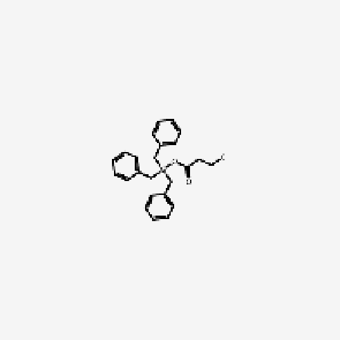 O=C(CCCl)O[Si](Cc1ccccc1)(Cc1ccccc1)Cc1ccccc1